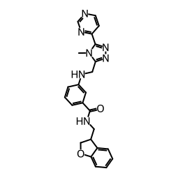 Cn1c(CNc2cccc(C(=O)NCC3COc4ccccc43)c2)nnc1-c1ccncn1